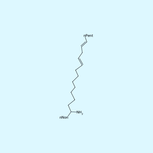 CCCCC/C=C/C/C=C/CCCCCCCC(N)CCCCCCCCC